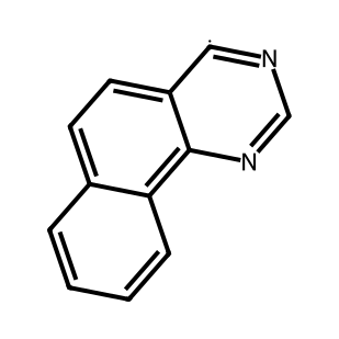 [c]1ncnc2c1ccc1ccccc12